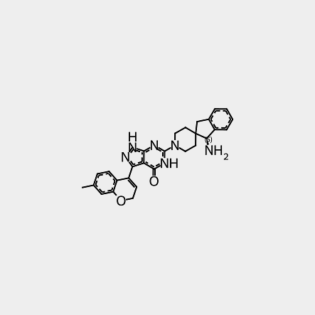 Cc1ccc2c(c1)OCC=C2c1n[nH]c2nc(N3CCC4(CC3)Cc3ccccc3[C@H]4N)[nH]c(=O)c12